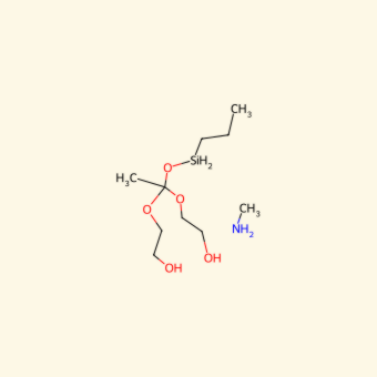 CCC[SiH2]OC(C)(OCCO)OCCO.CN